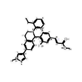 CCc1ccccc1N1CCc2cc(-c3cnn(C)c3)ccc2C1c1c(F)cc(/C=C/C(=O)OC)cc1F